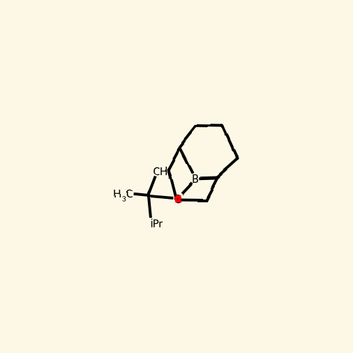 CC(C)C(C)(C)OB1C2CCCC1CCC2